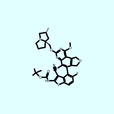 COc1nc(OC[C@@]23CCCN2C[C@H](F)C3)nc2c(F)c(-c3c(F)ccc4sc(NC(=O)OC(C)(C)C)c(C#N)c34)c3c(c12)COC3